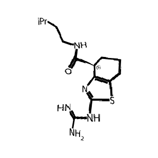 CC(C)CCNC(=O)[C@H]1CCCc2sc(NC(=N)N)nc21